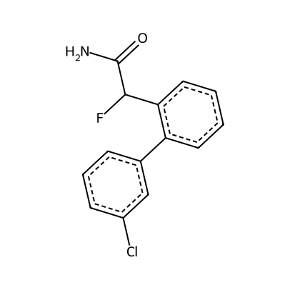 NC(=O)C(F)c1ccccc1-c1cccc(Cl)c1